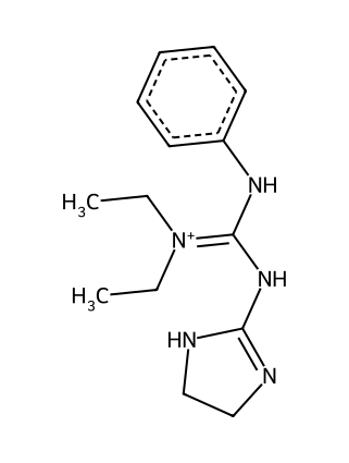 CC[N+](CC)=C(NC1=NCCN1)Nc1ccccc1